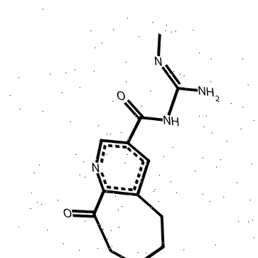 CN=C(N)NC(=O)c1cnc2c(c1)CCCCC2=O